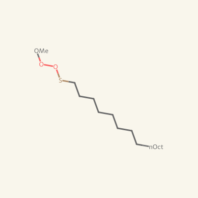 CCCCCCCCCCCCCCCCSOOOC